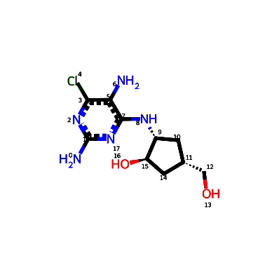 Nc1nc(Cl)c(N)c(N[C@@H]2C[C@H](CO)C[C@H]2O)n1